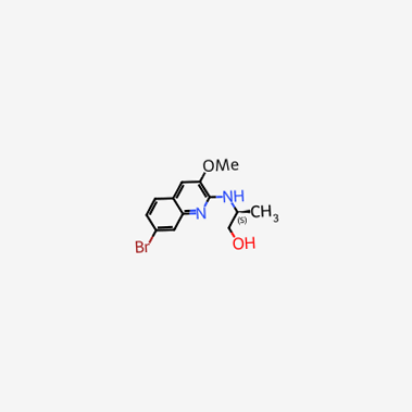 COc1cc2ccc(Br)cc2nc1N[C@@H](C)CO